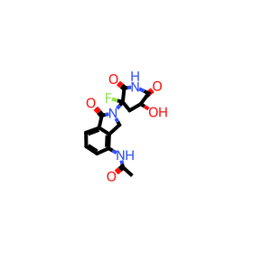 CC(=O)Nc1cccc2c1CN(C1(F)CC(O)C(=O)NC1=O)C2=O